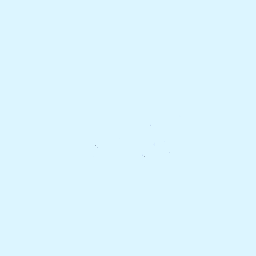 COc1cc2c(cc1OC)CN(Cc1c(-c3ccc(NC(=O)CCCl)cc3)nc3ccccn13)CC2